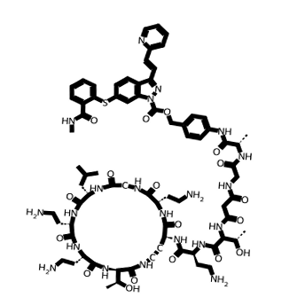 CNC(=O)c1ccccc1Sc1ccc2c(/C=C/c3ccccn3)nn(C(=O)OCc3ccc(NC(=O)[C@H](C)NC(=O)CNC(=O)CC(=O)NC(C(=O)N[C@@H](CCN)C(=O)N[C@@H]4CCNC(=O)[C@@H]([C@H](C)O)NC(=O)[C@H](CCN)NC(=O)[C@H](CCN)NC(=O)[C@H](CC(C)C)NC(=O)CNC(=O)[C@H](CCN)NC4=O)[C@H](C)O)cc3)c2c1